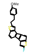 COc1ccc(CCc2cc3c4c(ccc3s2)-c2c-4ccc3sc(F)cc23)cc1